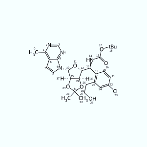 Cc1ncnc2c1ccn2[C@@H]1O[C@H]([C@@H](NC(=O)OC(C)(C)C)c2ccc(Cl)cc2CCO)[C@H]2OC(C)(C)O[C@H]21